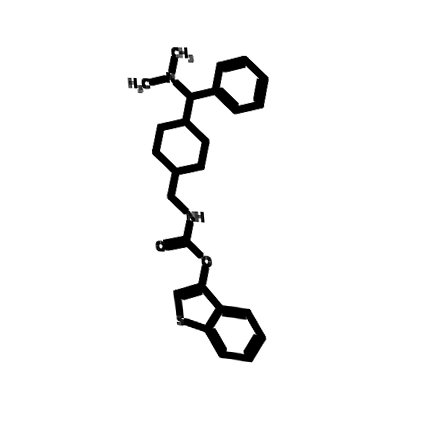 CN(C)C(c1ccccc1)C1CCC(CNC(=O)Oc2csc3ccccc23)CC1